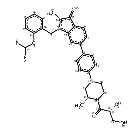 C[C@@H]1CN(c2ncc(-c3ccc4c(=O)n(C)n(Cc5ccccc5OC(F)F)c4c3)cn2)CCN1C(=O)[C@H](O)CO